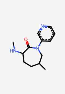 CNC1CCC(C)CN(c2cccnc2)C1=O